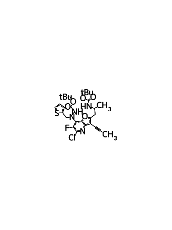 CC#Cc1c(C[C@H](C)NC(=O)OC(C)(C)C)oc2c(N(Cc3cccs3)NC(=O)OC(C)(C)C)c(F)c(Cl)nc12